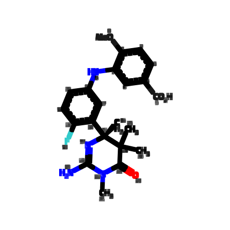 COc1ccc(C(=O)O)cc1Nc1ccc(F)c([C@@]2(C)N=C(N)N(C)C(=O)C2(C)C)c1